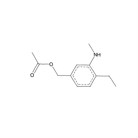 CCc1ccc(COC(C)=O)cc1NC